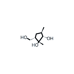 C[C@@H]1C[C@@H](CO)[C@@](C)(O)[C@H]1O